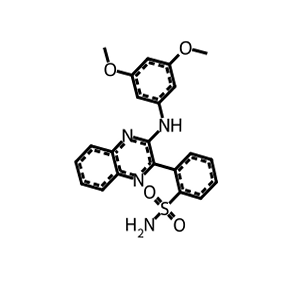 COc1cc(Nc2nc3ccccc3nc2-c2ccccc2S(N)(=O)=O)cc(OC)c1